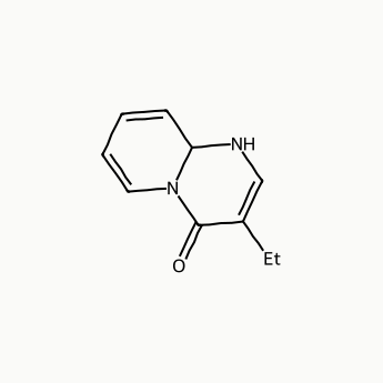 CCC1=CNC2C=CC=CN2C1=O